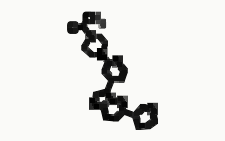 CC(=O)N1CCN(c2cc(-c3cnc4ccc(-c5cccnc5)nn34)ccn2)CC1